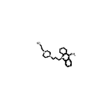 Nc1c2c([n+](CCCN3CCN(CCO)CC3)c3ccccc13)CCCC2